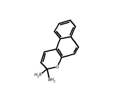 BC1(B)C=Cc2c(ccc3ccccc23)O1